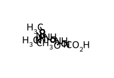 Cc1ccc2c(NCc3ccc(NC(=O)C4CCN(C(=O)O)CC4)cc3)nc(N(C)C)nc2c1